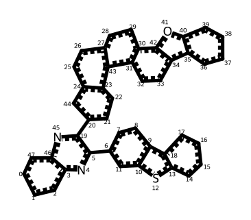 c1ccc2nc(-c3ccc4c(c3)sc3ccccc34)c(-c3ccc4c(ccc5ccc6c(ccc7c8ccccc8oc76)c54)c3)nc2c1